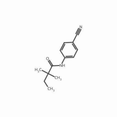 CCC(C)(C)C(=O)Nc1ccc(C#N)cc1